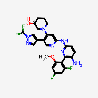 COc1cc(F)cc(F)c1-c1nc(Nc2cc(N3CCC[C@H](O)C3)c(-c3cnn(C(F)F)c3)cn2)ccc1N